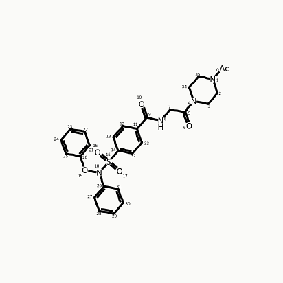 CC(=O)N1CCN(C(=O)CNC(=O)c2ccc(S(=O)(=O)N(Oc3ccccc3)c3ccccc3)cc2)CC1